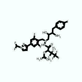 CC(C)(C(OC(N)=O)C(=O)NN(Cc1c(F)cc(-c2ccn(C(F)F)n2)cc1F)CC(O)C(N)Cc1ccc(I)cc1)C(F)(F)F